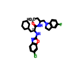 O=C(O)CC(CN1CCc2cc(F)ccc21)NC(=O)[C@H](CC1CCCCC1)Nc1nc2ccc(Cl)cc2o1